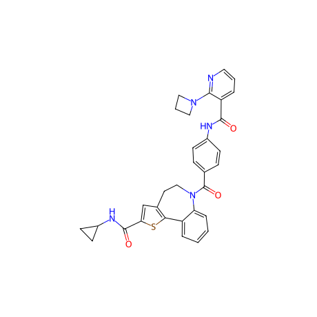 O=C(NC1CC1)c1cc2c(s1)-c1ccccc1N(C(=O)c1ccc(NC(=O)c3cccnc3N3CCC3)cc1)CC2